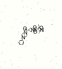 Cc1noc(C)c1S(=O)(=O)N1CC(C(=O)N2CCN(c3ccccc3)CC2)C1